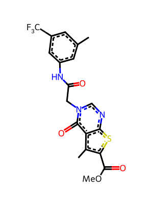 COC(=O)c1sc2ncn(CC(=O)Nc3cc(C)cc(C(F)(F)F)c3)c(=O)c2c1C